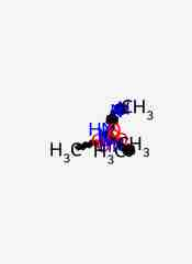 CCCCCCCOC(=O)n1nc(NC(=O)c2ccc(CN3CCN(C)CC3)cc2)c2oc(C(=O)NC(C)(C)c3ccccc3)cc21